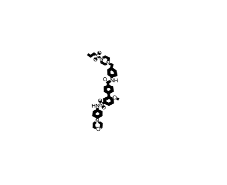 CCCS(=O)(=O)N1CCN(Cc2ccc(NC(=O)c3ccc(-c4cc(S(=O)(=O)Nc5ccc(N6CCOCC6)cc5)ccc4OC)cc3)cc2)CC1